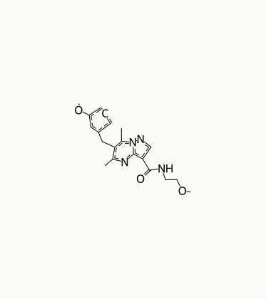 COCCNC(=O)c1cnn2c(C)c(Cc3cccc(OC)c3)c(C)nc12